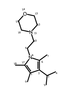 Cc1c(C(C)C)c(C)n(CCN2CCOCC2)c1C